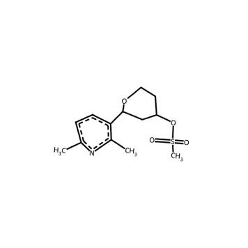 Cc1ccc(C2CC(OS(C)(=O)=O)CCO2)c(C)n1